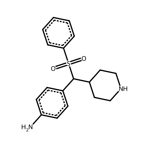 Nc1ccc(C(C2CCNCC2)S(=O)(=O)c2ccccc2)cc1